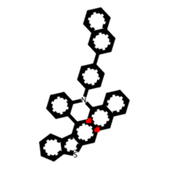 c1ccc(N(c2ccc(-c3ccc4ccccc4c3)cc2)c2cccc3ccccc23)c(-c2cccc3sc4ccccc4c23)c1